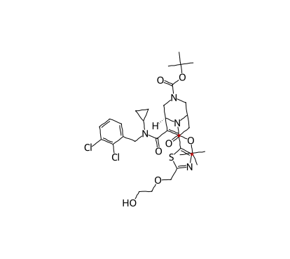 CC(C)(C)OC(=O)N1CC2CC(c3cnc(COCCO)s3)=C(C(=O)N(Cc3cccc(Cl)c3Cl)C3CC3)[C@@H](C1)N2C(=O)OC(C)(C)C